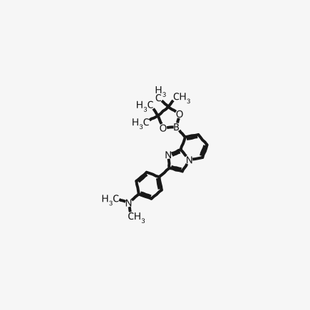 CN(C)c1ccc(-c2cn3cccc(B4OC(C)(C)C(C)(C)O4)c3n2)cc1